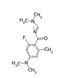 Cc1cc(N(C)C)cc(F)c1C(=O)/N=C/N(C)C